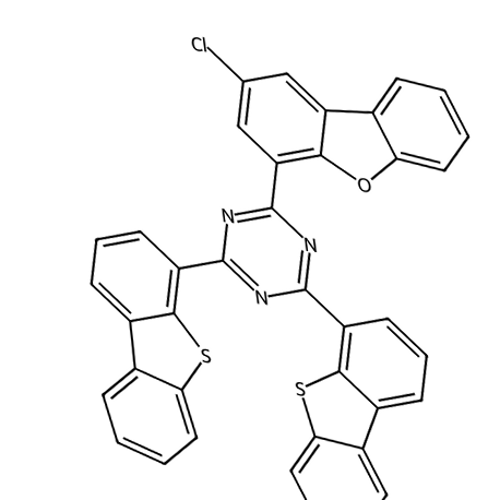 Clc1cc(-c2nc(-c3cccc4c3sc3ccccc34)nc(-c3cccc4c3sc3ccccc34)n2)c2oc3ccccc3c2c1